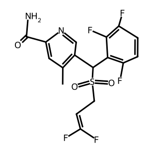 Cc1cc(C(N)=O)ncc1C(c1c(F)ccc(F)c1F)S(=O)(=O)CC=C(F)F